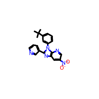 CC(C)(C)c1cccc(-n2c(-c3cccnc3)nc3cc([N+](=O)[O-])cnc32)c1